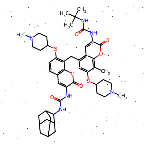 Cc1c(OC2CCN(C)CC2)cc(Cc2c(OC3CCN(C)CC3)ccc3cc(NC(=O)NC4C5CC6CC(C5)CC4C6)c(=O)oc23)c2cc(NC(=O)NC(C)(C)C)c(=O)oc12